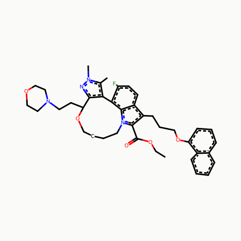 CCOC(=O)c1c(CCCOc2cccc3ccccc23)c2ccc(F)c3c2n1CCCCOC(CCN1CCOCC1)c1nn(C)c(C)c1-3